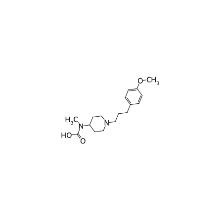 COc1ccc(CCCN2CCC(N(C)C(=O)O)CC2)cc1